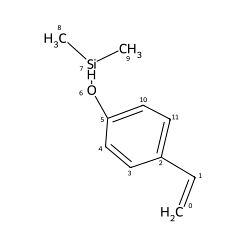 C=Cc1ccc(O[SiH](C)C)cc1